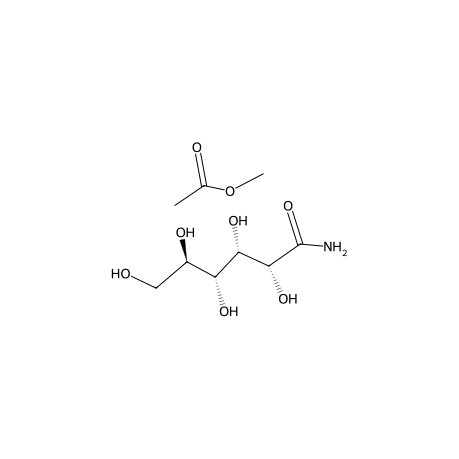 COC(C)=O.NC(=O)[C@H](O)[C@@H](O)[C@H](O)[C@H](O)CO